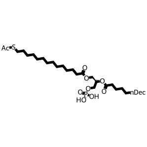 CCCCCCCCCCCCCCC(=O)O[C@H](COC(=O)CCCCCCCCCCCCCSC(C)=O)COP(=O)(O)O